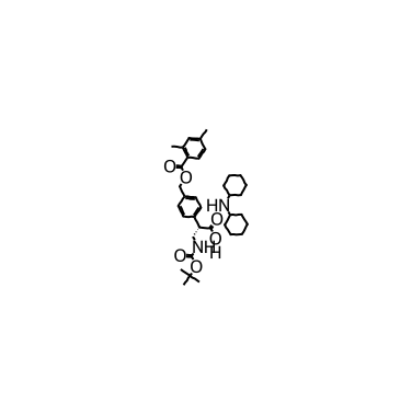 C1CCC(NC2CCCCC2)CC1.Cc1ccc(C(=O)OCc2ccc([C@@H](CNC(=O)OC(C)(C)C)C(=O)O)cc2)c(C)c1